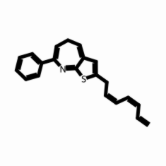 C=C/C=C\C=C/Cc1cc2c(s1)=NC(c1ccccc1)=CCC=2